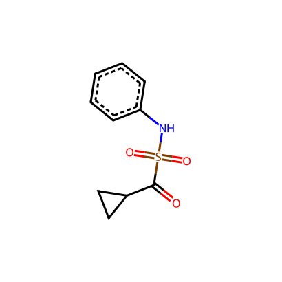 O=C(C1CC1)S(=O)(=O)Nc1ccccc1